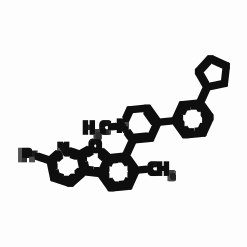 Cc1ccc2c(oc3nc(C(C)C)ccc32)c1C1=CC(c2cccc(C3CCCC3)c2)=CCN1C